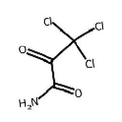 NC(=O)C(=O)C(Cl)(Cl)Cl